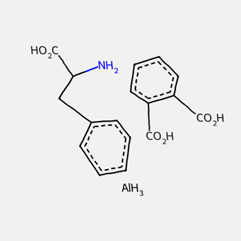 NC(Cc1ccccc1)C(=O)O.O=C(O)c1ccccc1C(=O)O.[AlH3]